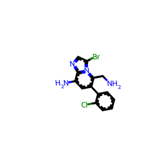 NCc1c(-c2ccccc2Cl)cc(N)c2ncc(Br)n12